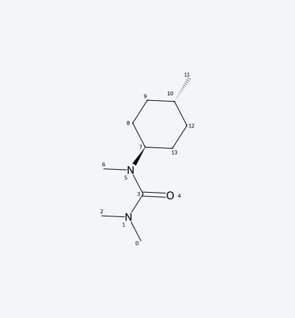 CN(C)C(=O)N(C)[C@H]1CC[C@H](C)CC1